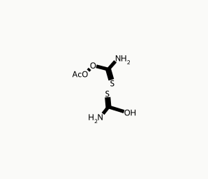 CC(=O)OOC(N)=S.NC(O)=S